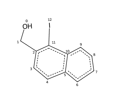 OCc1ccc2ccccc2c1I